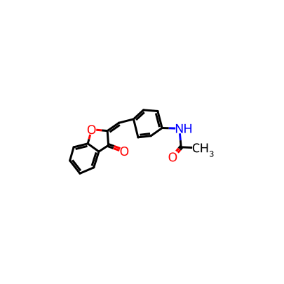 CC(=O)Nc1ccc(C=C2Oc3ccccc3C2=O)cc1